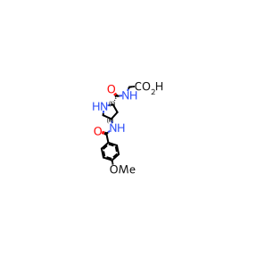 COc1ccc(C(=O)N[C@H]2CN[C@H](C(=O)NCC(=O)O)C2)cc1